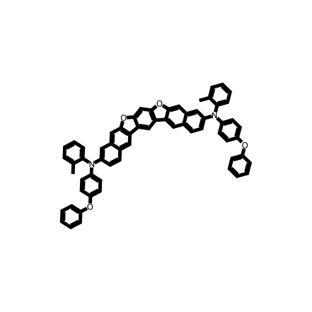 Cc1ccccc1N(c1ccc(Oc2ccccc2)cc1)c1ccc2cc3c(cc2c1)oc1cc2oc4cc5cc(N(c6ccc(Oc7ccccc7)cc6)c6ccccc6C)ccc5cc4c2cc13